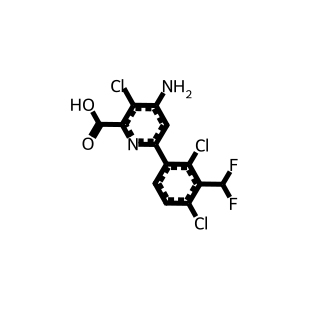 Nc1cc(-c2ccc(Cl)c(C(F)F)c2Cl)nc(C(=O)O)c1Cl